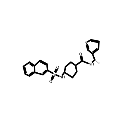 C[C@H](NC(=O)C1CCC(NS(=O)(=O)c2ccc3ccccc3c2)CC1)c1cccnc1